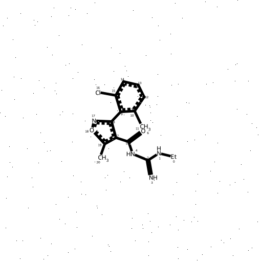 CCNC(=N)NC(=O)c1c(-c2c(C)cccc2Cl)noc1C